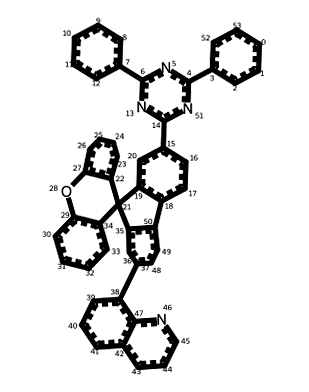 c1ccc(-c2nc(-c3ccccc3)nc(-c3ccc4c(c3)C3(c5ccccc5Oc5ccccc53)c3cc(-c5cccc6cccnc56)ccc3-4)n2)cc1